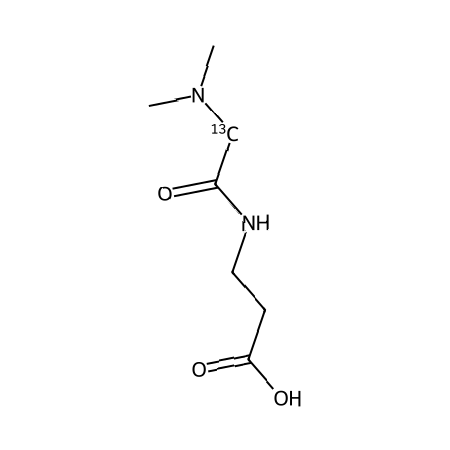 CN(C)[13CH2]C(=O)NCCC(=O)O